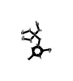 CCO[Si](Cn1cc(C)nc1CC)(OCC)OCC